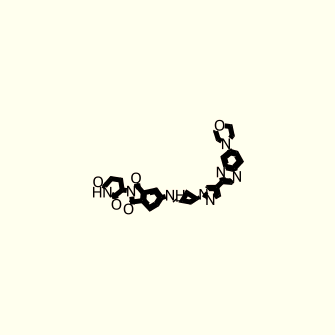 O=C1CCC(N2C(=O)c3ccc(NC[C@H]4C[C@H](n5cc(-c6cnc7ccc(N8CCOCC8)cc7n6)cn5)C4)cc3C2=O)C(=O)N1